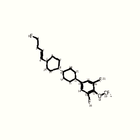 FCC/C=C/[C@H]1CC[C@H](C2CCC(c3cc(F)c(OC(F)(F)F)c(F)c3)CC2)CC1